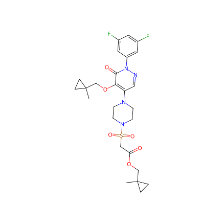 CC1(COC(=O)CS(=O)(=O)N2CCN(c3cnn(-c4cc(F)cc(F)c4)c(=O)c3OCC3(C)CC3)CC2)CC1